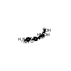 CC(=CC(=O)N[C@@H](CCC(=O)O)C(=O)O)c1ccc(C(=O)Oc2ccc(C(=N)N)cc2)cc1